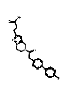 O=C(O)CCc1cc2n(n1)CCN(C(=O)Cc1ccc(-c3ccc(F)cc3)cc1)C2